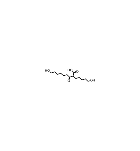 O=C(O)C(CCCCCO)C(=O)CCCCCCO